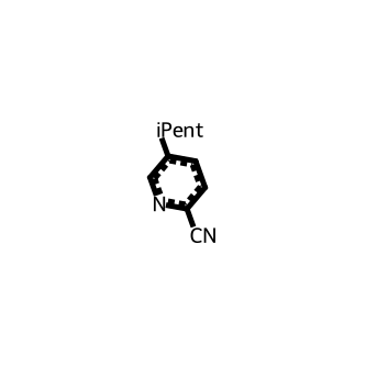 CCCC(C)c1ccc(C#N)nc1